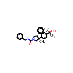 C[C@@]1(c2ccc(C(O)(C(F)(F)F)C(F)(F)F)cc2)CN(C(=O)NCc2ccccc2)C[C@@H]1c1ccccc1